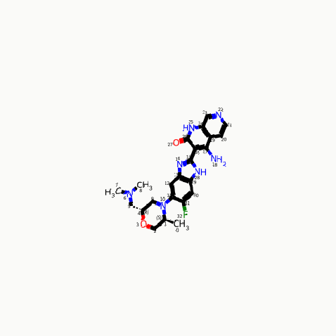 C[C@H]1CO[C@H](CN(C)C)CN1c1cc2nc(-c3c(N)c4ccncc4[nH]c3=O)[nH]c2cc1F